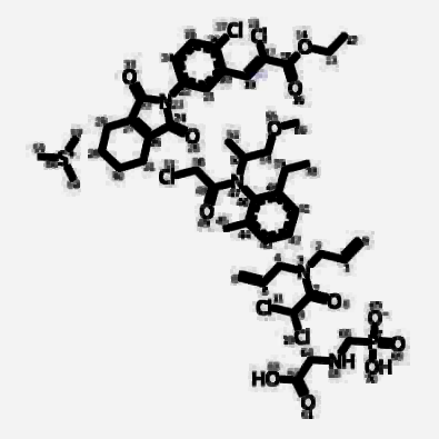 C=CCN(CC=C)C(=O)C(Cl)Cl.CCOC(=O)/C(Cl)=C/c1cc(N2C(=O)C3=C(CCCC3)C2=O)ccc1Cl.CCc1cccc(C)c1N(C(=O)CCl)C(C)COC.C[S+](C)C.O=C(O)CNCP(=O)([O-])O